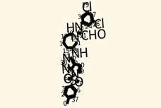 Cc1ccc(S(=O)(=O)n2ccc3c(NC4CCCCN(C(C=O)Nc5cc(Cl)cc(Cl)c5)C4)ncnc32)cc1